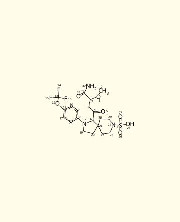 COC(CC(=O)C1N(c2ccc(OC(F)(F)F)cc2)CCC12CCN(S(=O)(=O)O)CC2)C(N)=O